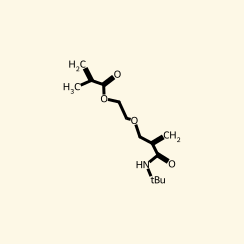 C=C(C)C(=O)OCCOCC(=C)C(=O)NC(C)(C)C